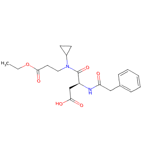 CCOC(=O)CCN(C(=O)[C@H](CC(=O)O)NC(=O)Cc1ccccc1)C1CC1